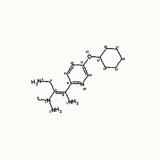 CN(N)/C(CN)=C(\N)c1ccc(OC2CCCCC2)cn1